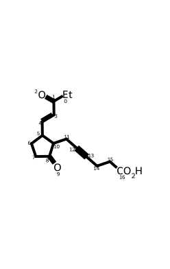 CCC(=O)C=CC1CCC(=O)C1CC#CCCC(=O)O